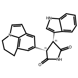 O=C1NC(=O)[C@@H](c2c[nH]c3ccccc23)[C@H]1c1cc2c3c(ccn3CCC2)c1